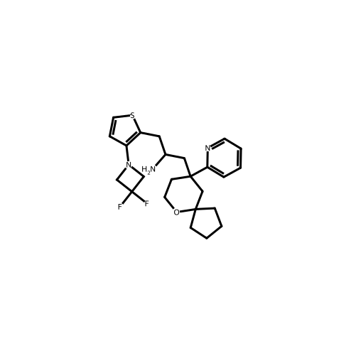 NC(Cc1sccc1N1CC(F)(F)C1)CC1(c2ccccn2)CCOC2(CCCC2)C1